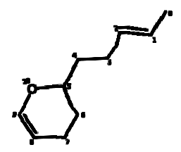 CC=CCCC1CCC=CO1